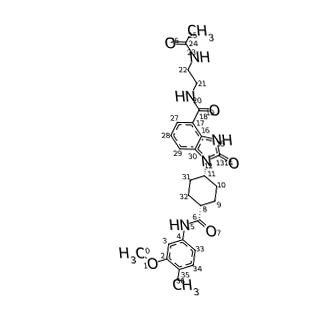 COc1cc(NC(=O)[C@H]2CC[C@@H](n3c(=O)[nH]c4c(C(=O)NCCNC(C)=O)cccc43)CC2)ccc1C